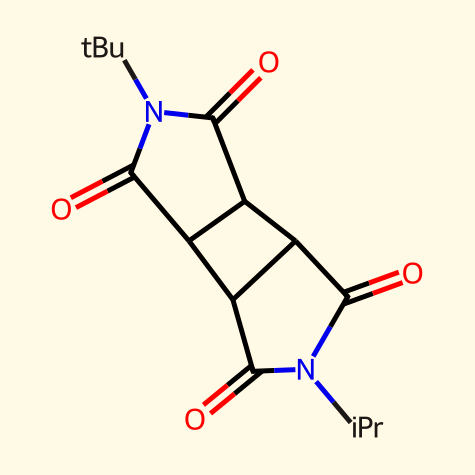 CC(C)N1C(=O)C2C(C1=O)C1C(=O)N(C(C)(C)C)C(=O)C21